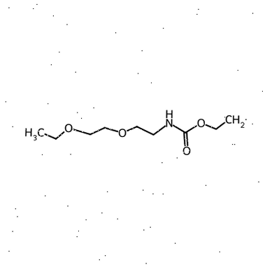 [CH2]COC(=O)NCCOCCOCC